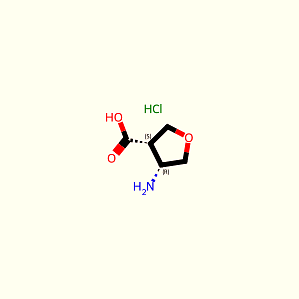 Cl.N[C@H]1COC[C@H]1C(=O)O